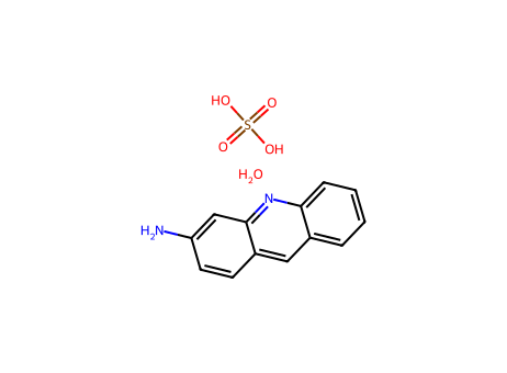 Nc1ccc2cc3ccccc3nc2c1.O.O=S(=O)(O)O